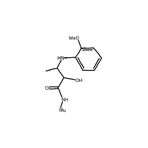 COc1ccccc1NC(C)C(O)C(=O)NC(C)(C)C